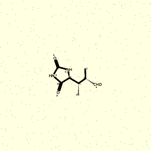 C[C@@H]([C@H](C)C=O)[C@@H]1NC(=O)NC1=O